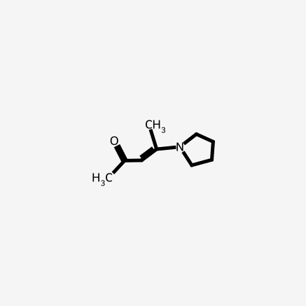 CC(=O)C=C(C)N1CCCC1